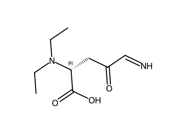 CCN(CC)[C@H](CC(=O)C=N)C(=O)O